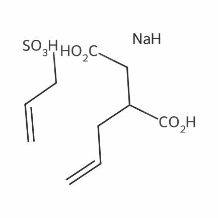 C=CCC(CC(=O)O)C(=O)O.C=CCS(=O)(=O)O.[NaH]